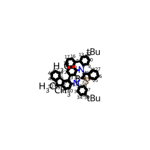 Cc1cc2c3c(c1)N(c1ccc(C(C)(C)C)cc1-c1ccccc1)c1c(sc4ccccc14)B3N(c1ccc(C(C)(C)C)cc1)c1ccc3c(c1-2)-c1ccccc1C3(C)C